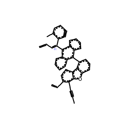 C=C/C=C(\c1c#cccc1C)c1c2ccccc2c(-c2cccc3oc4c(C#CC)c(C=C)ccc4c23)c2ccccc12